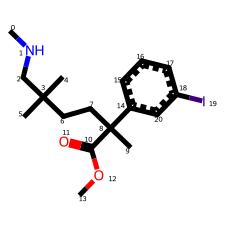 CNCC(C)(C)CCC(C)(C(=O)OC)c1cccc(I)c1